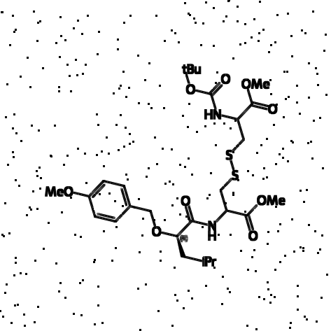 COC(=O)C(CSSCC(NC(=O)[C@@H](CC(C)C)OCc1ccc(OC)cc1)C(=O)OC)NC(=O)OC(C)(C)C